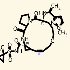 C=C(N[C@H]1CCCCC/C=C\C2C[C@@]2(C(=O)NS(=O)(=O)C2(C)CC2)NC(=O)C2CCCN2C1=O)c1ccn(C)n1